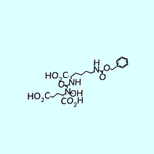 O=C(O)CC[C@@H](C(=O)O)N(O)C(=O)N[C@@H](CCCCNC(=O)OCc1ccccc1)C(=O)O